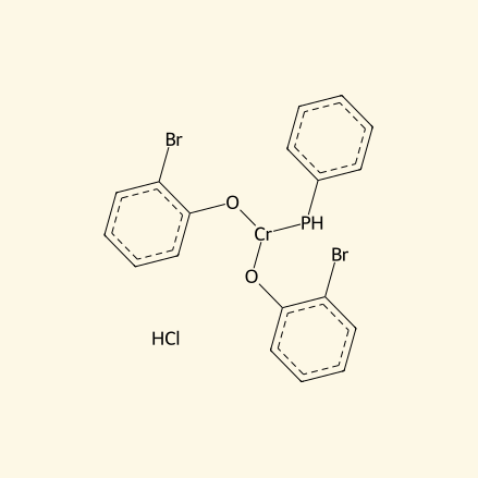 Brc1ccccc1[O][Cr]([O]c1ccccc1Br)[PH]c1ccccc1.Cl